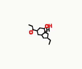 CCC(=O)C1CC(O)[C@H]2CC(CC)CC2C1